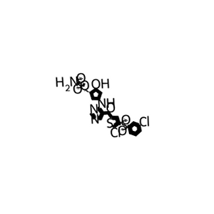 NS(=O)(=O)OC[C@H]1C[C@@H](Nc2ncncc2C(=O)c2cc(S(=O)(=O)c3cccc(Cl)c3)c(Cl)s2)C[C@@H]1O